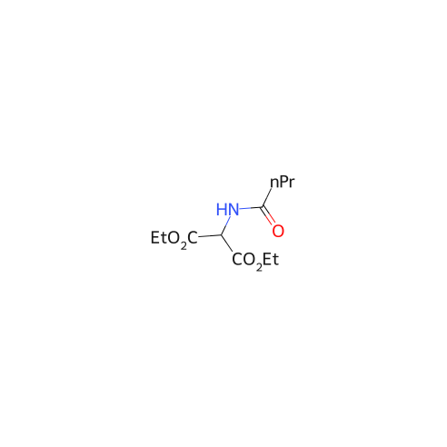 CCCC(=O)NC(C(=O)OCC)C(=O)OCC